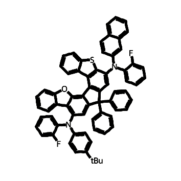 CC(C)(C)c1ccc(N(c2ccccc2F)c2cc3c(c4oc5ccccc5c24)-c2c(cc(N(c4ccc5ccccc5c4)c4ccccc4F)c4sc5ccccc5c24)C3(c2ccccc2)c2ccccc2)cc1